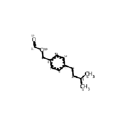 CC(C)CCc1ccc(COC=O)cc1